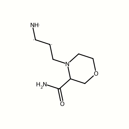 [NH][CH][CH]CN1CCOCC1C(N)=O